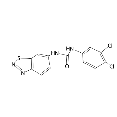 O=C(Nc1ccc(Cl)c(Cl)c1)Nc1ccc2nnsc2c1